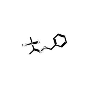 CC(=NOCc1ccccc1)P(C)(=O)O